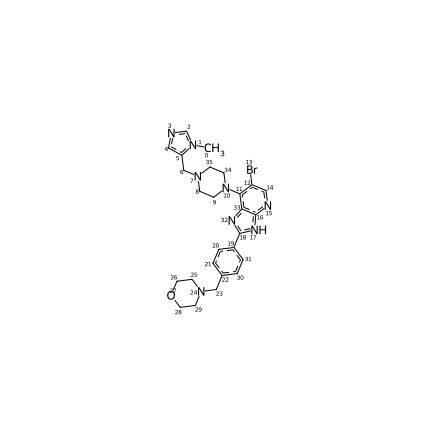 Cn1cncc1CN1CCN(c2c(Br)cnc3[nH]c(-c4ccc(CN5CCOCC5)cc4)nc23)CC1